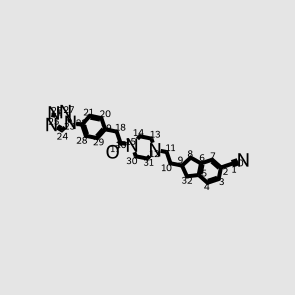 N#Cc1ccc2c(c1)CC(CCN1CCN(C(=O)Cc3ccc(-n4cnnn4)cc3)CC1)C2